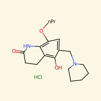 CCCOc1cc(CN2CCCCC2)c(O)c2c1NC(=O)CC2.Cl